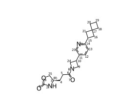 O=C1N[C@H](CCC(=O)N2CC(c3ccc(C4CC5(CCC5)C4)nc3)C2)CO1